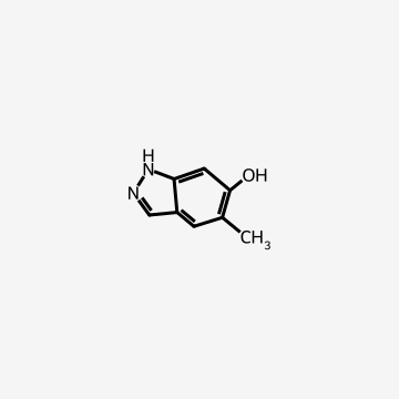 Cc1cc2cn[nH]c2cc1O